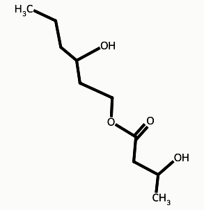 CCCC(O)CCOC(=O)CC(C)O